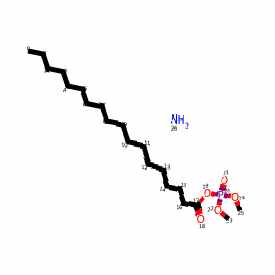 CCCCCCCCCCCCCCCCCC(=O)OP(=O)(OC)OC.N